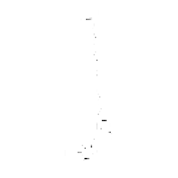 CC(NC(=O)CC[C@@H](NC(=O)CCCCCCCCCCCCCCCCC(=O)O)C(=O)O)C(=O)S